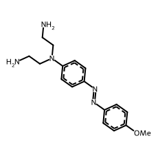 COc1ccc(/N=N/c2ccc(N(CCN)CCN)cc2)cc1